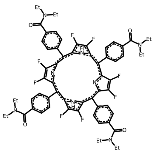 CCN(CC)C(=O)c1ccc(-c2c3nc(c(-c4ccc(C(=O)N(CC)CC)cc4)c4[nH]c(c(F)c4F)c(-c4ccc(C(=O)N(CC)CC)cc4)c4nc(c(-c5ccc(C(=O)N(CC)CC)cc5)c5[nH]c2c(F)c5F)C(F)=C4F)C(F)=C3F)cc1